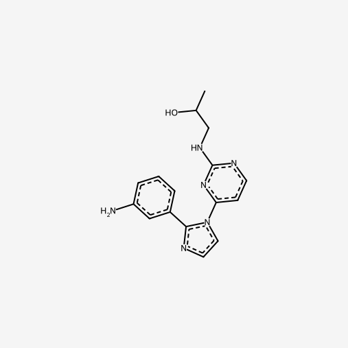 CC(O)CNc1nccc(-n2ccnc2-c2cccc(N)c2)n1